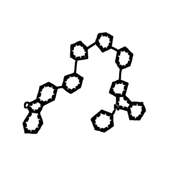 c1ccc(-n2c3ccccc3c3cc(-c4cccc(-c5cccc(-c6cccc(-c7cccc(-c8ccc9oc%10ccccc%10c9c8)c7)c6)c5)c4)ccc32)cc1